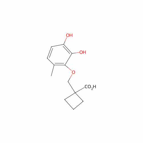 Cc1ccc(O)c(O)c1OCC1(C(=O)O)CCC1